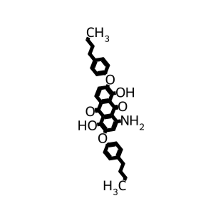 CCCCc1ccc(Oc2ccc3c(c2O)C(=O)c2c(N)cc(Oc4ccc(CCCC)cc4)c(O)c2C3=O)cc1